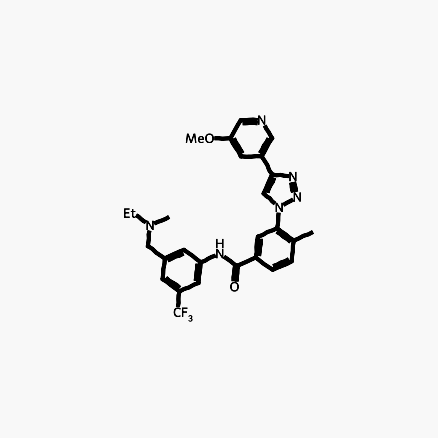 CCN(C)Cc1cc(NC(=O)c2ccc(C)c(-n3cc(-c4cncc(OC)c4)nn3)c2)cc(C(F)(F)F)c1